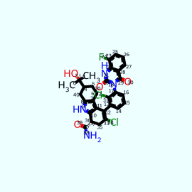 CC(C)(O)C1CCc2c([nH]c3c2C(c2cccc(-n4c(=O)[nH]c5c(F)cccc5c4=O)c2Cl)=C(Cl)C[C@@H]3C(N)=O)C1